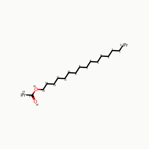 CC(C)CCCCCCCCCCCCCCCOC(=O)C(C)C